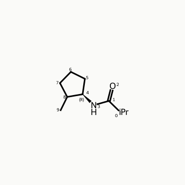 CC(C)C(=O)N[C@@H]1CCCC1C